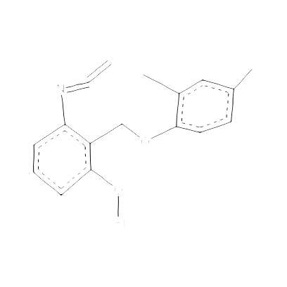 CCOc1cccc(N=C=O)c1COc1ccc(C)cc1C